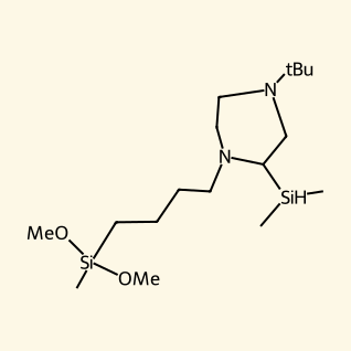 CO[Si](C)(CCCCN1CCN(C(C)(C)C)CC1[SiH](C)C)OC